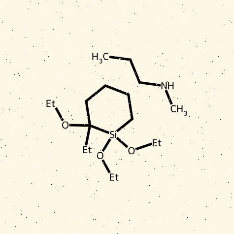 CCCNC.CCOC1(CC)CCCC[Si]1(OCC)OCC